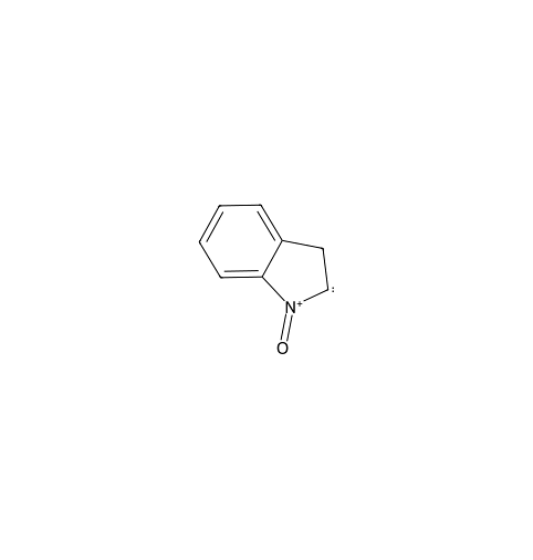 O=[N+]1[C]Cc2ccccc21